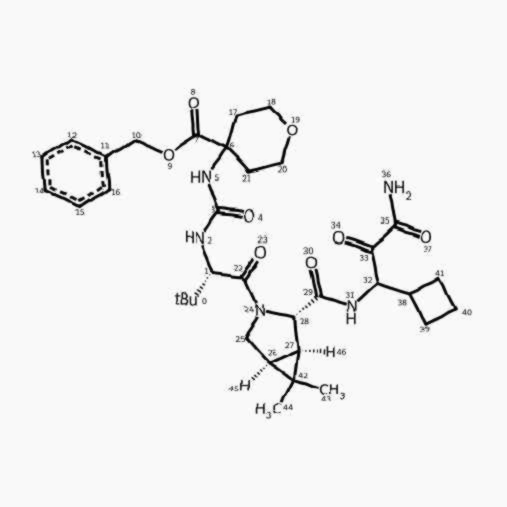 CC(C)(C)[C@H](NC(=O)NC1(C(=O)OCc2ccccc2)CCOCC1)C(=O)N1C[C@H]2[C@@H]([C@H]1C(=O)NC(C(=O)C(N)=O)C1CCC1)C2(C)C